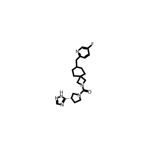 O=C(N1CC[C@H](c2ncn[nH]2)C1)N1CC2(CCC(Cc3ccc(F)cn3)CC2)C1